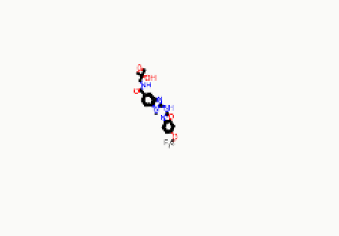 Cn1c(Nc2nc3ccc(OC(F)(F)F)cc3o2)nc2cc(C(=O)NCC3(O)COC3)ccc21